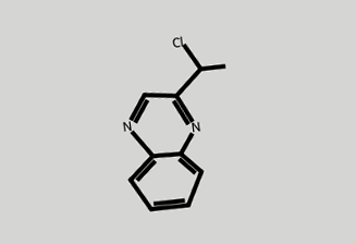 CC(Cl)c1cnc2ccccc2n1